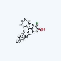 CCC(=Cc1ccc(C(=C2CCCCCC2)c2ccc(O)c(F)c2)cc1)C(=O)O